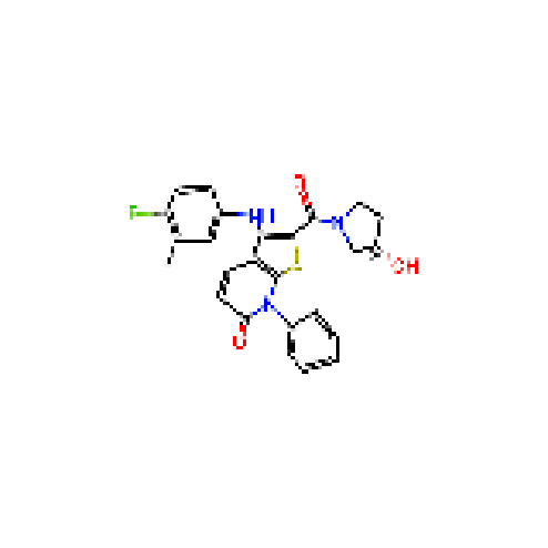 Cc1cc(Nc2c(C(=O)N3CC[C@H](O)C3)sc3c2ccc(=O)n3-c2ccccc2)ccc1F